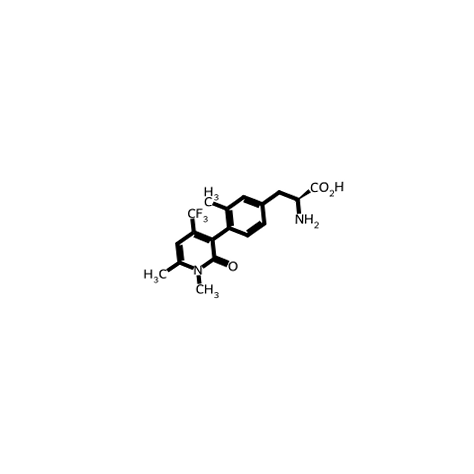 Cc1cc(C[C@H](N)C(=O)O)ccc1-c1c(C(F)(F)F)cc(C)n(C)c1=O